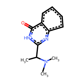 CC(c1nc2ccccc2c(=O)[nH]1)N(C)C